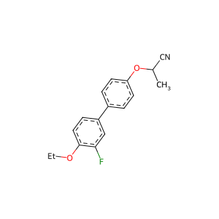 CCOc1ccc(-c2ccc(OC(C)C#N)cc2)cc1F